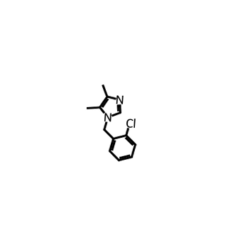 Cc1ncn(Cc2ccccc2Cl)c1C